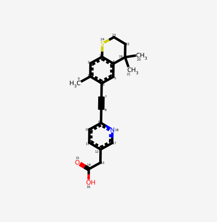 Cc1cc2c(cc1C#Cc1ccc(CC(=O)O)cn1)C(C)(C)CCS2